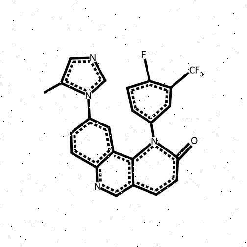 Cc1cncn1-c1ccc2ncc3ccc(=O)n(-c4ccc(F)c(C(F)(F)F)c4)c3c2c1